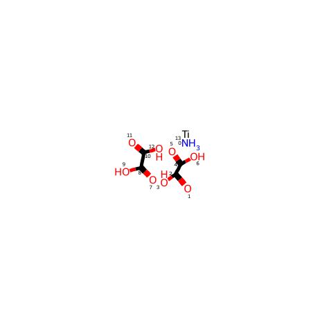 N.O=C(O)C(=O)O.O=C(O)C(=O)O.[Ti]